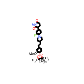 COc1cc(CCC2CCN(c3ccc(C4CCC(=O)NC4=O)cc3F)CC2)ccc1B1OC(C)(C)C(C)(C)O1